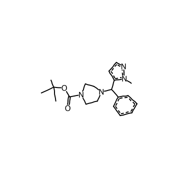 Cn1nccc1C(c1ccccc1)N1CCN(C(=O)OC(C)(C)C)CC1